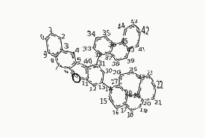 c1ccc2cc3c(cc2c1)oc1cc(-c2ccc4ccc5cccc6ccc2c4c56)cc(-c2cccc4c2ccc2ccccc24)c13